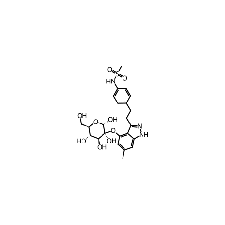 Cc1cc(O[C@]2(O)[C@@H](O)O[C@H](CO)[C@@H](O)[C@@H]2O)c2c(CCc3ccc(NS(C)(=O)=O)cc3)n[nH]c2c1